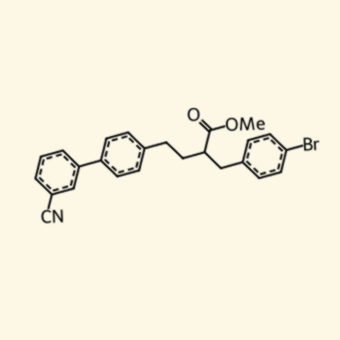 COC(=O)C(CCc1ccc(-c2cccc(C#N)c2)cc1)Cc1ccc(Br)cc1